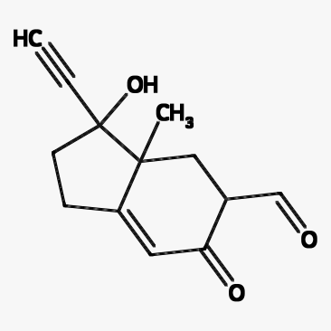 C#CC1(O)CCC2=CC(=O)C(C=O)CC21C